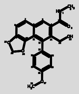 CNC(=O)c1cc2ccc3c(c2c(-c2ccc(OC)cc2)c1CO)OCO3